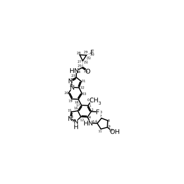 Cc1c(F)c(NC2CCC(O)C2)c2[nH]ncc2c1-c1ccn2nc(NC(=O)[C@@H]3C[C@@H]3F)cc2c1